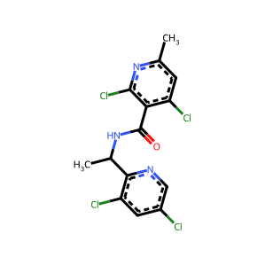 Cc1cc(Cl)c(C(=O)NC(C)c2ncc(Cl)cc2Cl)c(Cl)n1